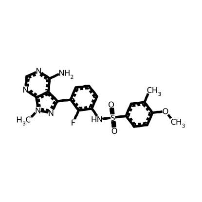 COc1ccc(S(=O)(=O)Nc2cccc(-c3nn(C)c4ncnc(N)c34)c2F)cc1C